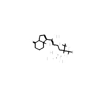 CC(=CCCC(O[Si](C)(C)C)(C(F)(F)F)C(F)(F)F)C1=CCC2C(=O)CCCC12C